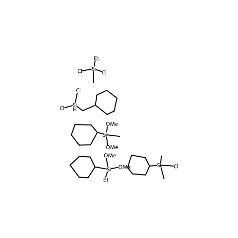 CC[Si](C)(Cl)Cl.CC[Si](OC)(OC)C1CCCCC1.CO[Si](C)(OC)C1CCCCC1.C[Si](C)(Cl)C1CCCCC1.Cl[SiH](Cl)CC1CCCCC1